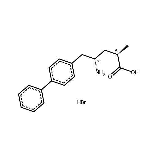 Br.C[C@H](C[C@H](N)Cc1ccc(-c2ccccc2)cc1)C(=O)O